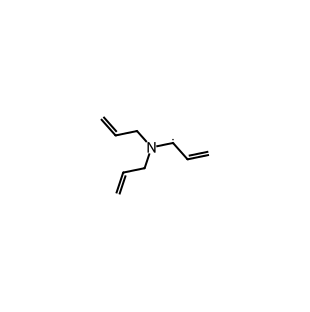 C=C[CH]N(CC=C)CC=C